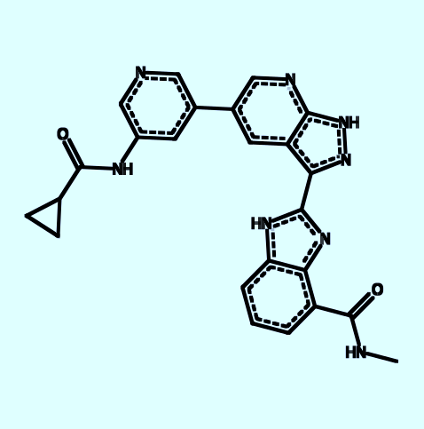 CNC(=O)c1cccc2[nH]c(-c3n[nH]c4ncc(-c5cncc(NC(=O)C6CC6)c5)cc34)nc12